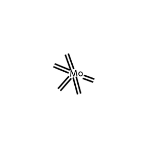 [CH2]=[Mo](=[CH2])(=[CH2])(=[CH2])=[CH2]